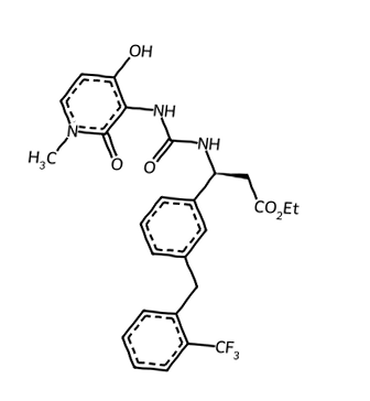 CCOC(=O)C[C@H](NC(=O)Nc1c(O)ccn(C)c1=O)c1cccc(Cc2ccccc2C(F)(F)F)c1